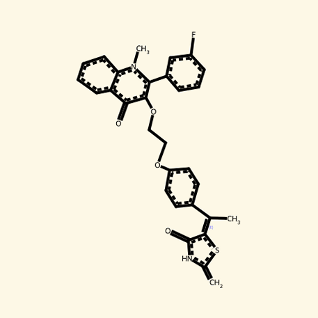 C=c1[nH]c(=O)/c(=C(/C)c2ccc(OCCOc3c(-c4cccc(F)c4)n(C)c4ccccc4c3=O)cc2)s1